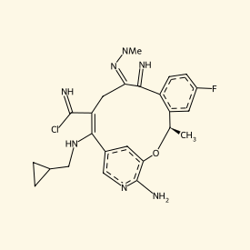 CN/N=C1/C/C(C(=N)Cl)=C(/NCC2CC2)c2cnc(N)c(c2)O[C@H](C)c2cc(F)ccc2C1=N